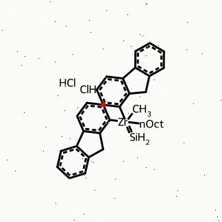 CCCCCCC[CH2][Zr]([CH3])(=[SiH2])([c]1cccc2c1Cc1ccccc1-2)[c]1cccc2c1Cc1ccccc1-2.Cl.Cl